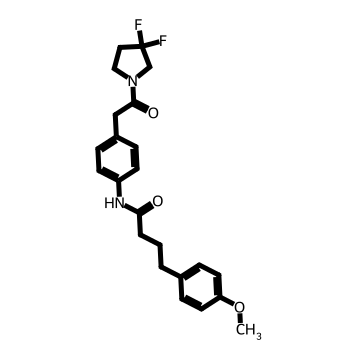 COc1ccc(CCCC(=O)Nc2ccc(CC(=O)N3CCC(F)(F)C3)cc2)cc1